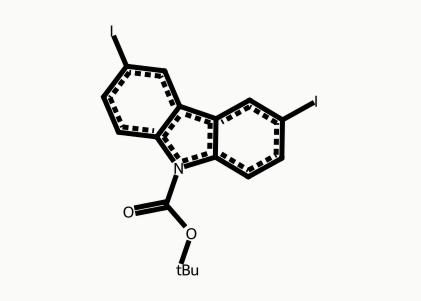 CC(C)(C)OC(=O)n1c2ccc(I)cc2c2cc(I)ccc21